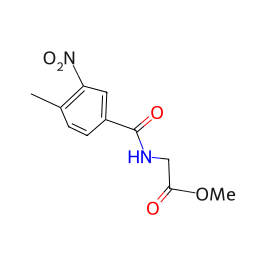 COC(=O)CNC(=O)c1ccc(C)c([N+](=O)[O-])c1